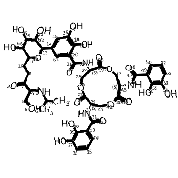 CC(C)NC(CO)C(=O)CCC1OC(c2cc(O)c(O)c(C(=O)N[C@H]3COC(=O)[C@@H](NC(=O)c4cccc(O)c4O)COC(=O)[C@@H](NC(=O)c4cccc(O)c4O)COC3=O)c2)C(O)C(O)C1O